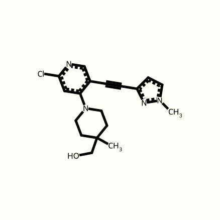 Cn1ccc(C#Cc2cnc(Cl)cc2N2CCC(C)(CO)CC2)n1